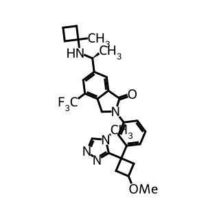 COC1CC(c2cccc(N3Cc4c(cc([C@H](C)NC5(C)CCC5)cc4C(F)(F)F)C3=O)c2)(c2nncn2C)C1